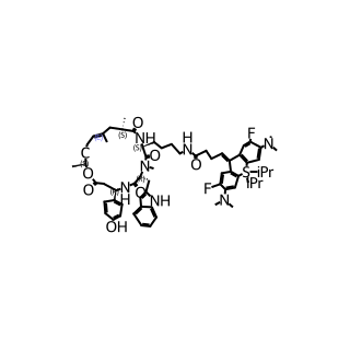 C/C1=C\CC[C@H](C)OC(=O)C[C@H](c2ccc(O)cc2)NC(=O)[C@@H](Cc2cc3ccccc3[nH]2)N(C)C(=O)[C@H](CCCCNC(=O)CCC=C2c3cc(F)c(N(C)C)cc3S(C(C)C)(C(C)C)c3cc(N(C)C)c(F)cc32)NC(=O)[C@@H](C)C1